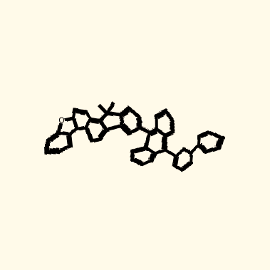 CC1(C)c2ccc(-c3c4ccccc4c(C4=CC=CC(c5ccccc5)C4)c4ccccc34)cc2-c2ccc3c(ccc4oc5ccccc5c43)c21